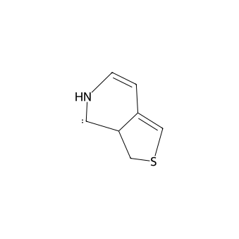 [C]1NC=CC2=CSCC12